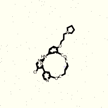 Clc1cnc2nc1-c1ccnc(c1)OCC/C=C/COCc1cc(ccc1OCCCN1CCCC1)N2